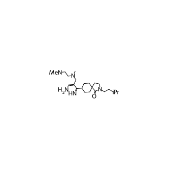 CNCCN(C)C/C(=C/N)C(=N)C1CCC2(CC1)CCN(CCC(C)C)C2=O